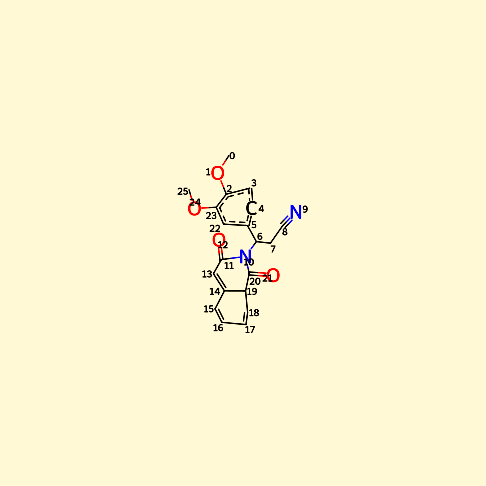 COc1ccc(C(CC#N)N2C(=O)C=C3C=CC=CC3C2=O)cc1OC